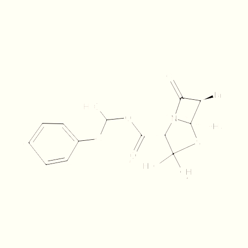 CC(OC(=O)[C@@H]1N2C(=O)[C@@H](Br)[C@H]2SC1(C)C)Oc1ccccc1